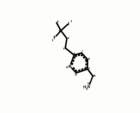 CC(F)(I)CCc1ccc(CN)cn1